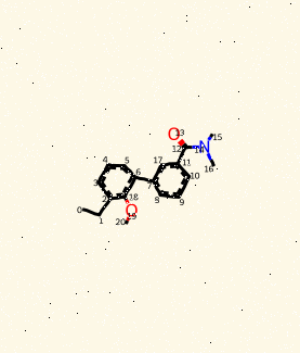 CCc1cccc(-c2cccc(C(=O)N(C)C)c2)c1OC